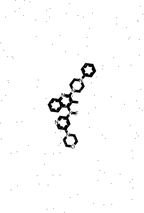 Cc1c(N2CCN(c3ccccc3)CC2)nc2ccccc2c1N(F)c1cncc(N2CCOCC2)c1